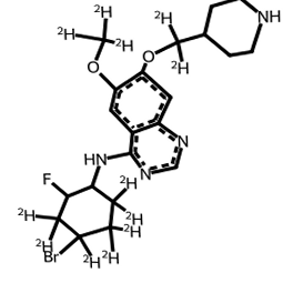 [2H]C([2H])([2H])Oc1cc2c(NC3C(F)C([2H])([2H])C([2H])(Br)C([2H])([2H])C3([2H])[2H])ncnc2cc1OC([2H])([2H])C1CCNCC1